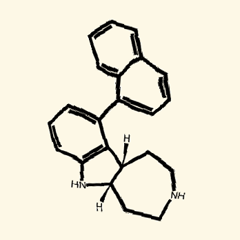 c1cc2c(c(-c3cccc4ccccc34)c1)[C@@H]1CCNCC[C@@H]1N2